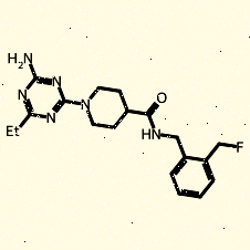 CCc1nc(N)nc(N2CCC(C(=O)NCc3ccccc3CF)CC2)n1